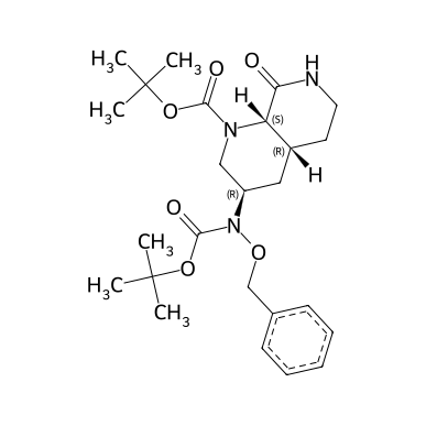 CC(C)(C)OC(=O)N1C[C@H](N(OCc2ccccc2)C(=O)OC(C)(C)C)C[C@H]2CCNC(=O)[C@H]21